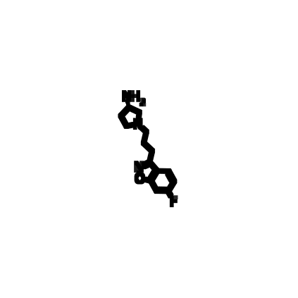 N[C@H]1CCN(CCCc2noc3cc(F)ccc23)C1